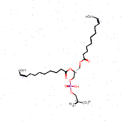 CCCCCCCC/C=C\CCCCCCCC(=O)OC[C@H](COP(=O)(O)OC[C@H](C)C(=O)O)OC(=O)CCCCCCC/C=C\CCCCCCCC